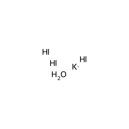 I.I.I.O.[K]